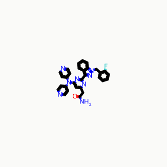 NC(=O)Cc1cc(N(c2ccncc2)c2ccncc2)nc(-c2nn(Cc3ccccc3F)c3ccccc23)n1